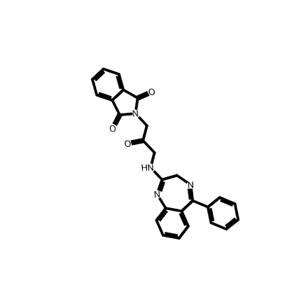 O=C(CNC1=Nc2ccccc2C(c2ccccc2)=NC1)CN1C(=O)c2ccccc2C1=O